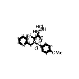 COc1ccc(S(=O)(=O)N(Cc2ccccn2)C(C(=O)NO)C(C)C)cc1.Cl